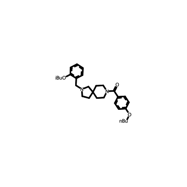 CCCCOc1ccc(C(=O)N2CCC3(CCN(Cc4ccccc4OCC(C)C)C3)CC2)cc1